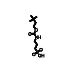 CC(C)(C)CCOC(=O)NCCCS(=O)(=O)O